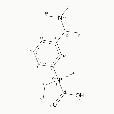 CC[N@+](C)(C(=O)O)c1cccc(C(C)N(C)C)c1